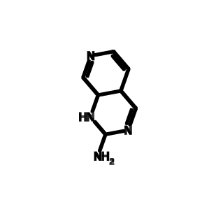 NC1N=CC2C=CN=CC2N1